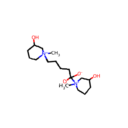 C[N+]1(CCCCC([O-])([O-])[N+]2(C)CCCC(O)C2)CCCC(O)C1